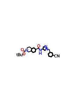 CC(C)(C)OC(=O)N1CCc2cc(C(=O)Nc3cnn(Cc4cccc(C#N)c4)c3)ccc2C1